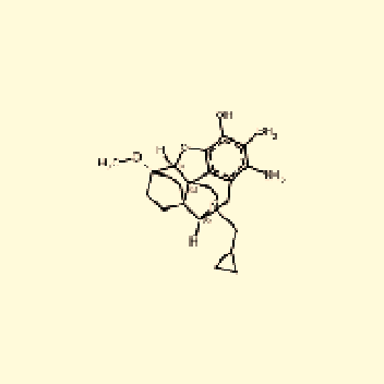 Bc1c(B)c2c3c(c1O)O[C@H]1[C@]4(OC)CC[C@]5(CC4)[C@@H](C2)N(CC2CC2)CC[C@]315